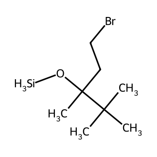 CC(C)(C)C(C)(CCBr)O[SiH3]